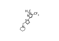 Cn1nc(-c2ccc(CN3CCCCC3)s2)cc1C(F)(F)F